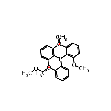 COCOc1ccccc1P(c1c(OC)cccc1OC)c1c(OC)cccc1OC